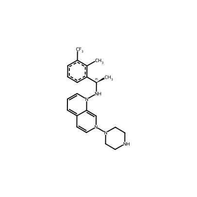 Cc1c([C@@H](C)NN2C=CC=C3C=CN(N4CCNCC4)C=C32)cccc1C(F)(F)F